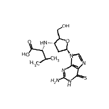 CC(C)[C@@H](N[C@H]1C[C@H](n2cnc3c(=S)[nH]c(N)nc32)OC1CO)C(=O)O